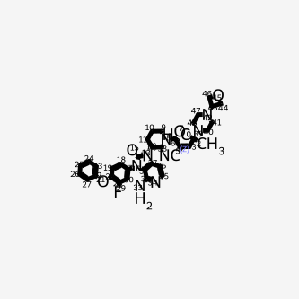 CC(C)(/C=C(/C#N)C(=O)N1CCC[C@@H](n2c(=O)n(-c3ccc(Oc4ccccc4)c(F)c3)c3c(N)nccc32)C1)N1CCN(C2COC2)CC1